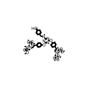 COP(=O)(CN(CCc1ccc(Oc2nc(Oc3ccc(CCN(CP(=O)(OC)OC)CP(=O)(OC)OC)cc3)nc(N(C)Cc3ccc(O)cc3)n2)cc1)CP(=O)(OC)OC)OC